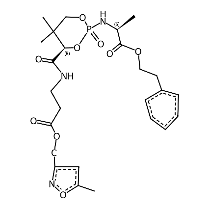 Cc1cc(COC(=O)CCNC(=O)[C@@H]2OP(=O)(N[C@@H](C)C(=O)OCCc3ccccc3)OCC2(C)C)no1